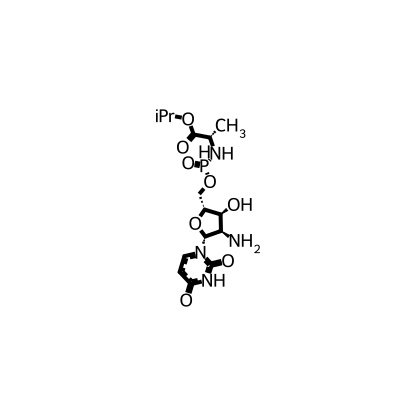 CC(C)OC(=O)[C@H](C)N[PH](=O)OC[C@H]1O[C@@H](n2ccc(=O)[nH]c2=O)[C@H](N)[C@@H]1O